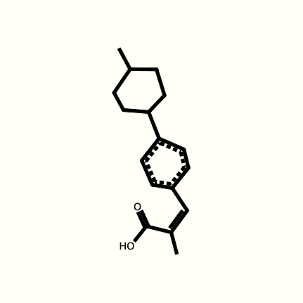 CC(=Cc1ccc(C2CCC(C)CC2)cc1)C(=O)O